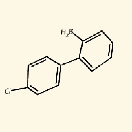 Bc1ccccc1-c1ccc(Cl)cc1